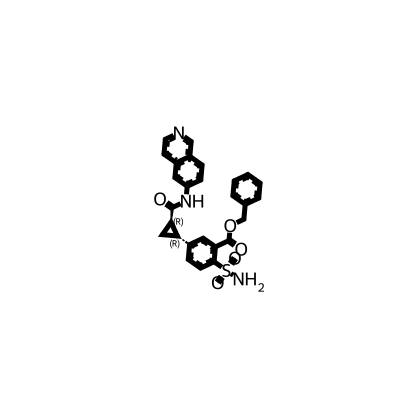 NS(=O)(=O)c1ccc([C@@H]2C[C@H]2C(=O)Nc2ccc3cnccc3c2)cc1C(=O)OCc1ccccc1